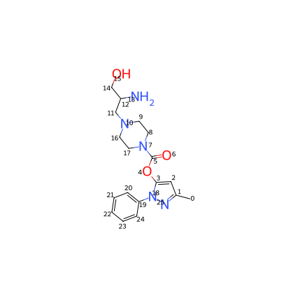 Cc1cc(OC(=O)N2CCN(CC(N)CO)CC2)n(-c2ccccc2)n1